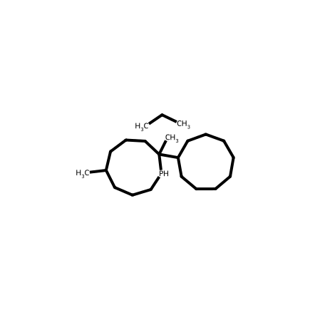 CC1CCCPC(C)(C2CCCCCCCC2)CCC1.CCC